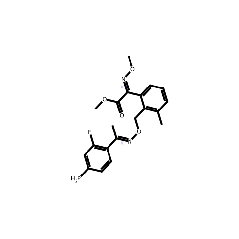 CO/N=C(/C(=O)OC)c1cccc(C)c1CO/N=C(\C)c1ccc(P)cc1F